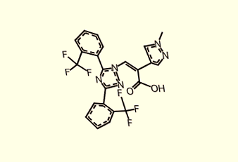 Cn1cc(C(=Cn2nc(-c3ccccc3C(F)(F)F)nc2-c2ccccc2C(F)(F)F)C(=O)O)cn1